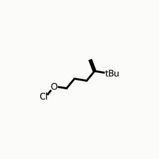 C=C(CCCOCl)C(C)(C)C